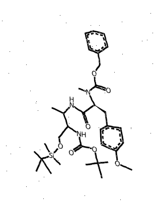 COc1ccc(C[C@@H](C(=O)NC(C)C(CO[Si](C)(C)C(C)(C)C)NC(=O)OC(C)(C)C)N(C)C(=O)OCc2ccccc2)cc1